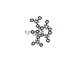 N#Cc1cc(C(F)(F)F)ccc1-c1cc(-n2c3ccc(-c4nc(-c5ccccc5)nc(-c5ccccc5)n4)cc3c3cc(-c4nc(-c5ccccc5)nc(-c5ccccc5)n4)ccc32)c(C#N)c(-n2c3ccc(-c4nc(-c5ccccc5)nc(-c5ccccc5)n4)cc3c3cc(-c4nc(-c5ccccc5)nc(-c5ccccc5)n4)ccc32)c1